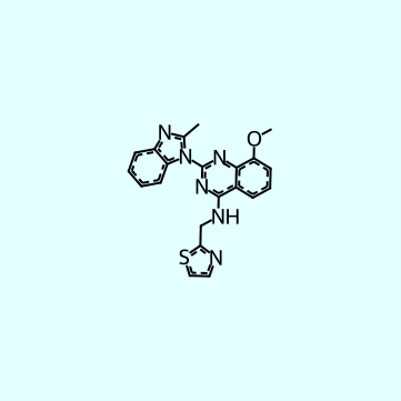 COc1cccc2c(NCc3nccs3)nc(-n3c(C)nc4ccccc43)nc12